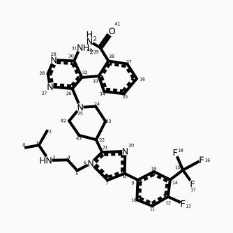 CC(C)NCCn1cc(-c2ccc(F)c(C(F)(F)F)c2)nc1C1CCN(c2ncnc(N)c2-c2ccccc2C(N)=O)CC1